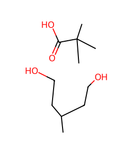 CC(C)(C)C(=O)O.CC(CCO)CCO